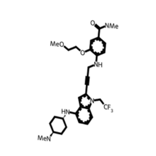 CNC(=O)c1ccc(NCC#Cc2cc3c(N[C@H]4CC[C@H](NC)CC4)cccc3n2CC(F)(F)F)c(OCCOC)c1